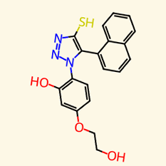 OCCOc1ccc(-n2nnc(S)c2-c2cccc3ccccc23)c(O)c1